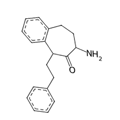 NC1CCc2ccccc2C(CCc2ccccc2)C1=O